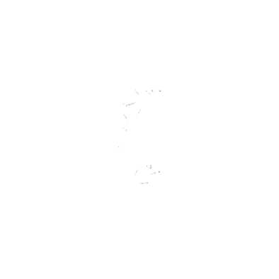 CNC(=O)c1ccc(N2CCN(CC3COc4cc(Cl)c(=O)[nH]c4C3)CC2)c(F)n1